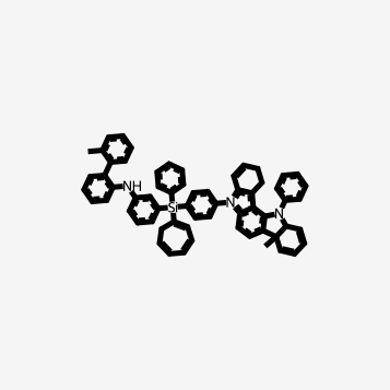 Cc1ccccc1-c1ccccc1Nc1cccc([Si](C2=CC=CC=CC2)(c2ccccc2)c2ccc(-n3c4c(c5c6c(ccc53)C3(C)C=CC=CC3N6c3ccccc3)CCC=C4)cc2)c1